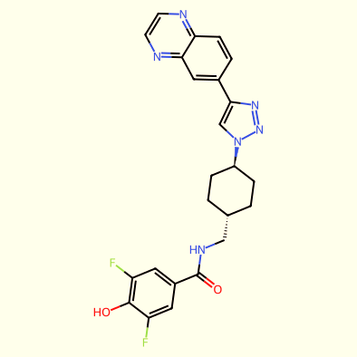 O=C(NC[C@H]1CC[C@H](n2cc(-c3ccc4nccnc4c3)nn2)CC1)c1cc(F)c(O)c(F)c1